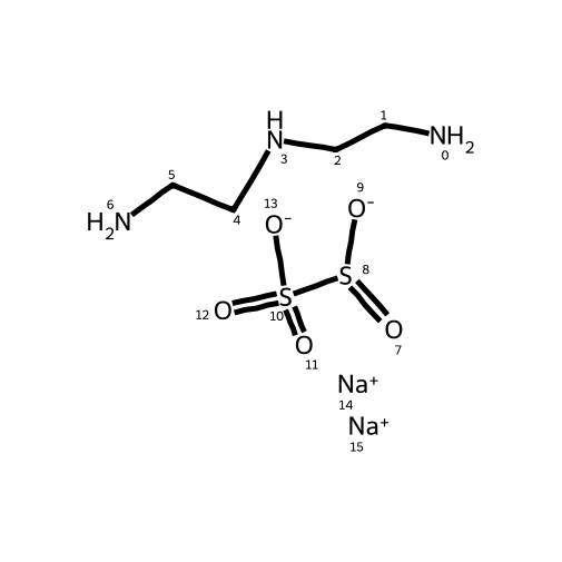 NCCNCCN.O=S([O-])S(=O)(=O)[O-].[Na+].[Na+]